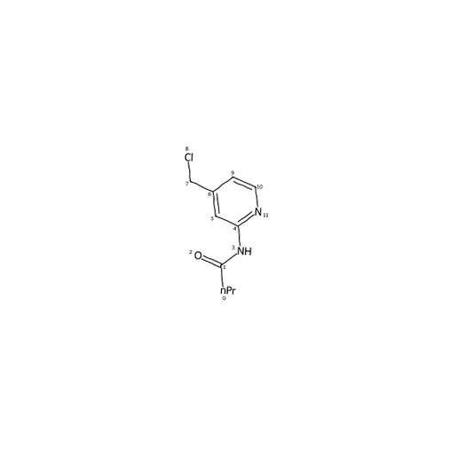 CCCC(=O)Nc1cc(CCl)ccn1